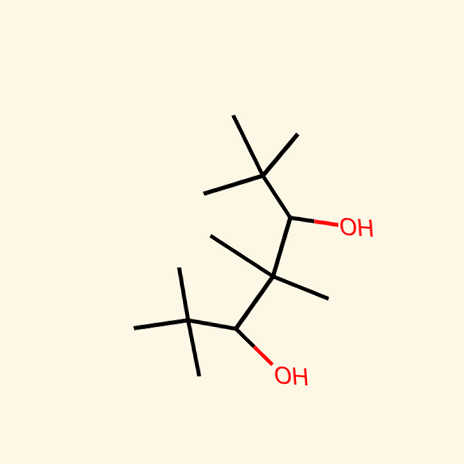 CC(C)(C)C(O)C(C)(C)C(O)C(C)(C)C